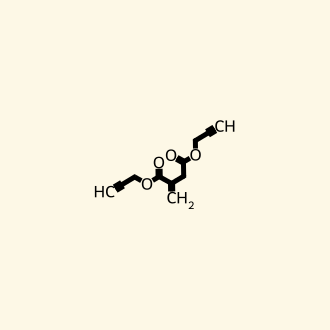 C#CCOC(=O)CC(=C)C(=O)OCC#C